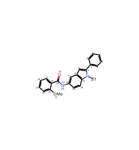 CCn1c(-c2ccccc2)cc2cc(NC(=O)c3ccccc3OC)ccc21